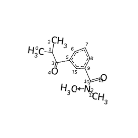 CC(C)C(=O)c1cccc(C(=O)N(C)C)c1